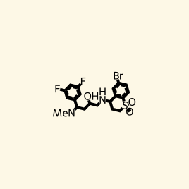 CNC(CC(O)CNC1CCS(=O)(=O)c2ccc(Br)cc21)c1cc(F)cc(F)c1